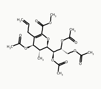 C=CCC1=C(C(=O)OC)O[C@@H]([C@H](OC(C)=O)[C@@H](COC(C)=O)OC(C)=O)[C@H](C)[C@H]1OC(C)=O